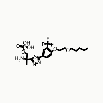 CCCCCOCCOc1ccc(-c2nnc(C(C)(N)COP(=O)(O)O)s2)cc1C(F)(F)F